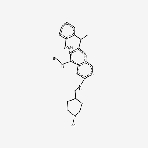 CC(=O)N1CCC(CNc2ncc3cc(C(C)c4ccccc4C(=O)O)nc(NC(C)C)c3n2)CC1